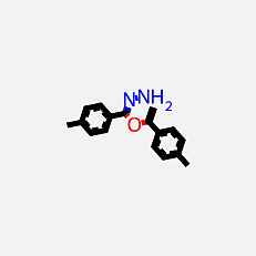 C=C(O/C(=N\N)c1ccc(C)cc1)c1ccc(C)cc1